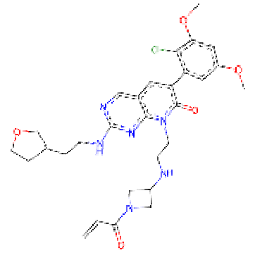 C=CC(=O)N1CC(NCCn2c(=O)c(-c3cc(OC)cc(OC)c3Cl)cc3cnc(NCCC4CCOC4)nc32)C1